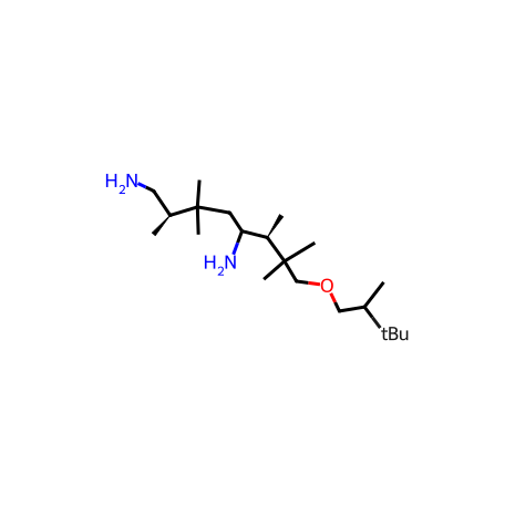 CC(COCC(C)(C)[C@H](C)C(N)CC(C)(C)[C@@H](C)CN)C(C)(C)C